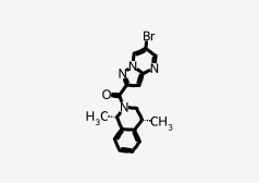 C[C@H]1CN(C(=O)c2cc3ncc(Br)cn3n2)[C@@H](C)c2ccccc21